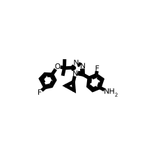 CC(C)(Oc1ccc(F)cc1)c1nnc(-c2ccc(N)cc2F)n1C1CC1